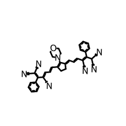 N#CC(C#N)=C(/C(C#N)=C/C=C/C1=C(N2CCOCC2)C(=C/C=C/C(C#N)=C(\c2ccccc2)C(C#N)C#N)/CC1)c1ccccc1